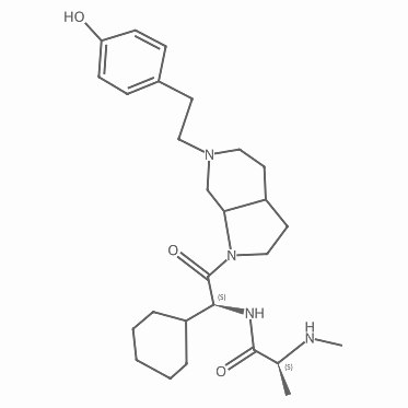 CN[C@@H](C)C(=O)N[C@H](C(=O)N1CCC2CCN(CCc3ccc(O)cc3)CC21)C1CCCCC1